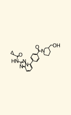 O=C(Nc1nc2cccc(-c3ccc(C(=O)N4CCCC(CO)C4)cc3)n2n1)C1CC1